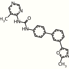 Cc1ncc(-c2cccc(-c3ccc(NC(=O)Nc4ncncc4C)cc3)c2)o1